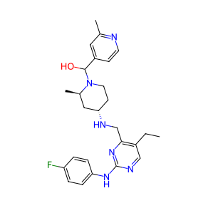 CCc1cnc(Nc2ccc(F)cc2)nc1CN[C@H]1CCN(C(O)c2ccnc(C)c2)[C@H](C)C1